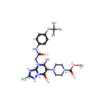 [2H]C([2H])([2H])Sc1ccc(NC(=O)Cn2c(CC)c(N3CCN(C(=O)OC(C)(C)C)CC3)c(=O)n3nc(Br)nc23)cc1